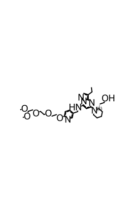 CCc1cnn2c(NCc3ccc(OCCOCCOCC(OC)OC)nc3)cc(N3CCCC[C@H]3CCO)nc12